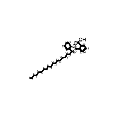 CCCCCCCCCCCCCCCCCCC(OC(=O)c1ccccc1C(=O)O)c1ccccc1